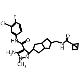 Cn1nc(C2CC3CC(CNC(=O)C45CC(C4)C5)CC3C2)c(C(=O)Nc2ccc(F)c(Cl)c2)c1N